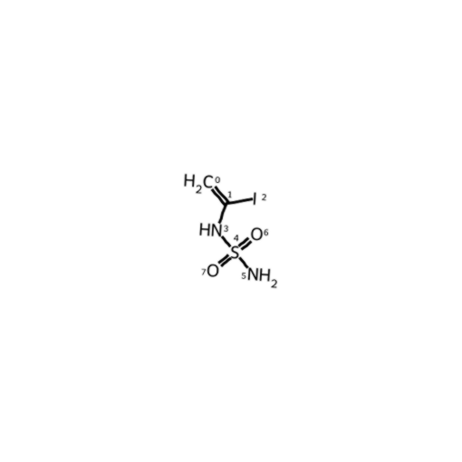 C=C(I)NS(N)(=O)=O